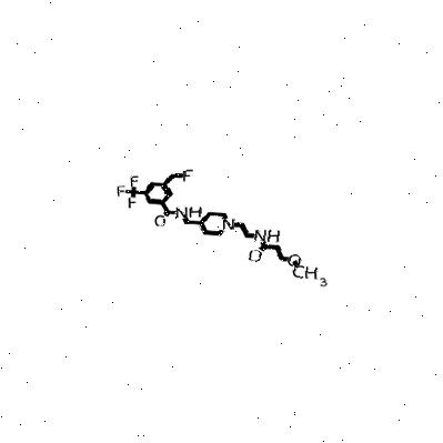 COCCC(=O)NCCN1CCC(CNC(=O)c2cc(CF)cc(C(F)(F)F)c2)CC1